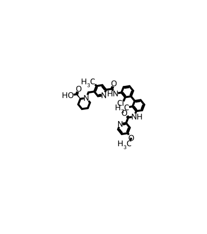 COc1ccnc(C(=O)Nc2cccc(-c3cccc(NC(=O)c4cc(C)c(CN5CCCC[C@H]5C(=O)O)cn4)c3Cl)c2C)c1